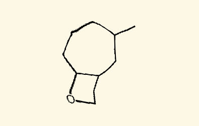 CC1CCCC2OCC2C1